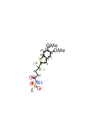 COc1cc2cc(C(F)(F)CCC(=O)NS(C)(=O)=O)sc2cc1OC